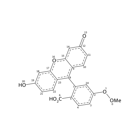 COOc1ccc(C(=O)O)c(-c2c3ccc(=O)cc-3oc3cc(O)ccc23)c1